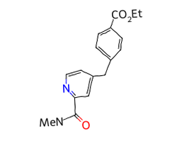 CCOC(=O)c1ccc(Cc2ccnc(C(=O)NC)c2)cc1